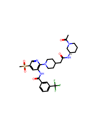 CC(=O)N1CCC[C@@H](NC(=O)CC2CCN(c3ncc(S(C)(=O)=O)cc3NC(=O)c3cccc(C(F)(F)F)c3)CC2)C1